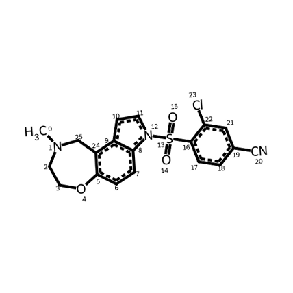 CN1CCOc2ccc3c(ccn3S(=O)(=O)c3ccc(C#N)cc3Cl)c2C1